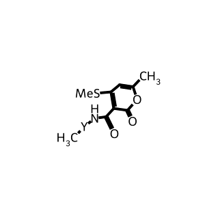 CSc1cc(C)oc(=O)c1C(=O)[NH][Y][CH3]